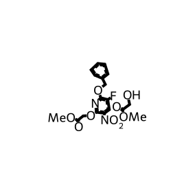 COC(=O)CO.COC(=O)COc1nc(OCc2ccccc2)c(F)cc1[N+](=O)[O-]